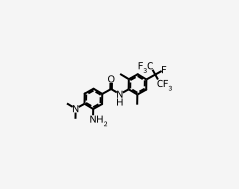 Cc1cc(C(F)(C(F)(F)F)C(F)(F)F)cc(C)c1NC(=O)c1ccc(N(C)C)c(N)c1